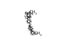 CCNC(=O)C1CCC(c2ccc(CCN3CCN(c4cccc(C)c4)CC3)cc2)[N+]1=O